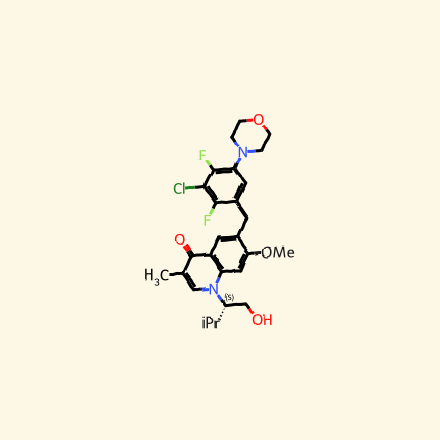 COc1cc2c(cc1Cc1cc(N3CCOCC3)c(F)c(Cl)c1F)c(=O)c(C)cn2[C@H](CO)C(C)C